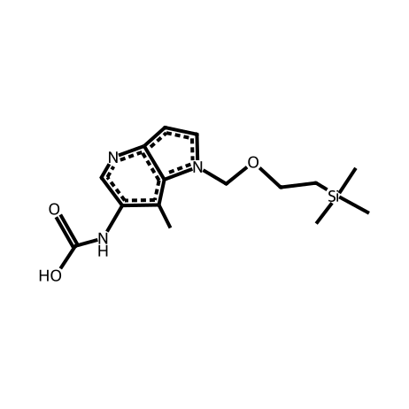 Cc1c(NC(=O)O)cnc2ccn(COCC[Si](C)(C)C)c12